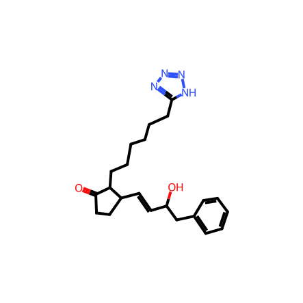 O=C1CCC(C=CC(O)Cc2ccccc2)C1CCCCCCc1nnn[nH]1